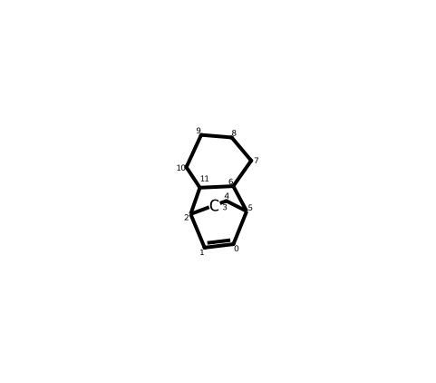 C1=CC2CCC1C1CCCCC21